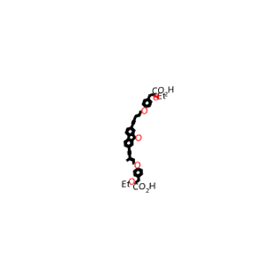 CCOC(Cc1ccc(OCC=CC#Cc2ccc3c(c2)C(=O)c2cc(C#CC(C)=CCOc4ccc(CC(OCC)C(=O)O)cc4)ccc2-3)cc1)C(=O)O